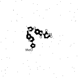 CO[C@H]1CC[C@H](c2ccc3cc(CN4CC[C@H](Oc5ccc6c(c5)CN(C5CCC(=O)NC5=O)C6=O)C4)ccc3n2)C1